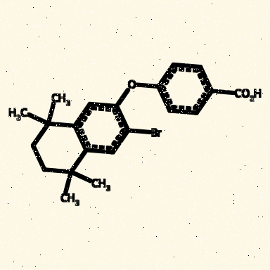 CC1(C)CCC(C)(C)c2cc(Oc3ccc(C(=O)O)cc3)c(Br)cc21